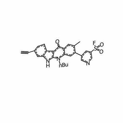 C#Cc1ccc2c(c1)[nH]c1c2c(=O)c2cc(C)c(-c3cncc(S(=O)(=O)F)c3)cc2n1CCCC